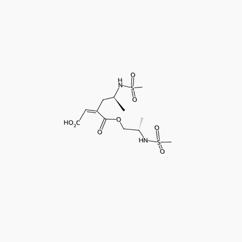 C[C@@H](COC(=O)C(=CC(=O)O)C[C@H](C)NS(C)(=O)=O)NS(C)(=O)=O